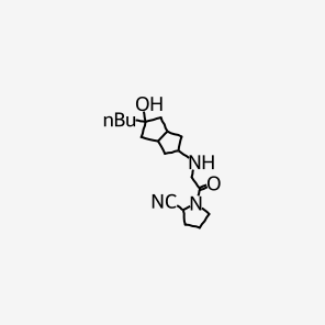 CCCCC1(O)CC2CC(NCC(=O)N3CCCC3C#N)CC2C1